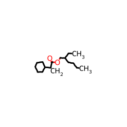 C=C(C(=O)OCC(CC)CCCC)C1CCCCC1